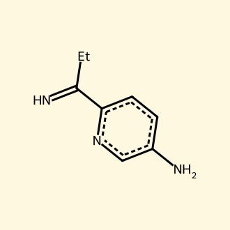 CCC(=N)c1ccc(N)cn1